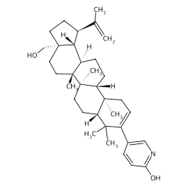 C=C(C)[C@@H]1CC[C@]2(CO)CC[C@]3(C)[C@H](CC[C@@H]4[C@@]5(C)CC=C(c6ccc(O)nc6)C(C)(C)[C@@H]5CC[C@]43C)[C@@H]12